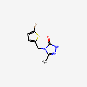 Cc1n[nH]c(=O)n1Cc1ccc(Br)s1